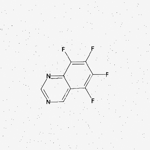 Fc1c(F)c(F)c2ncncc2c1F